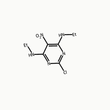 CCNc1nc(Cl)nc(NCC)c1[N+](=O)[O-]